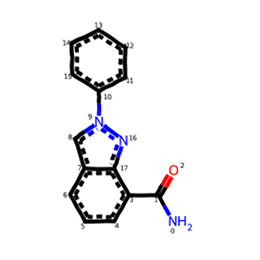 NC(=O)c1cccc2cn(-c3c[c]ccc3)nc12